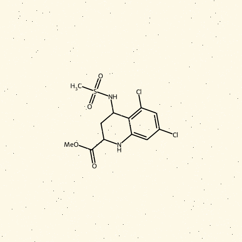 COC(=O)C1CC(NS(C)(=O)=O)c2c(Cl)cc(Cl)cc2N1